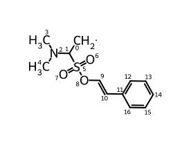 [CH2]C(N(C)C)S(=O)(=O)OC=Cc1ccccc1